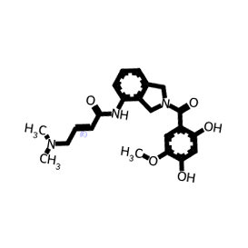 COc1cc(C(=O)N2Cc3cccc(NC(=O)/C=C/CN(C)C)c3C2)c(O)cc1O